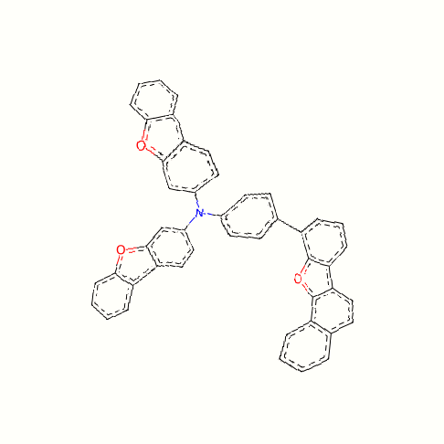 c1ccc2c(c1)ccc1c3cccc(-c4ccc(N(c5ccc6c(c5)oc5ccccc56)c5ccc6c(c5)oc5ccccc56)cc4)c3oc21